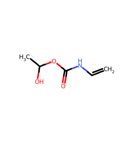 C=CNC(=O)OC(C)O